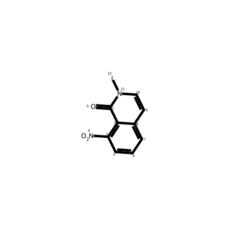 O=c1c2c([N+](=O)[O-])cccc2ccn1I